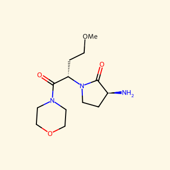 COCC[C@@H](C(=O)N1CCOCC1)N1CC[C@H](N)C1=O